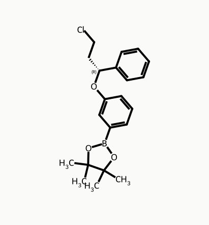 CC1(C)OB(c2cccc(O[C@H](CCCl)c3ccccc3)c2)OC1(C)C